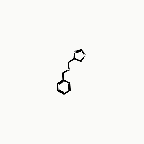 C1=NC(COCc2ccccc2)CO1